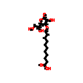 O=C(O)CCCCCCCCCCOC1=C(O)C(=O)O[C@@H]1[C@@H](O)CO